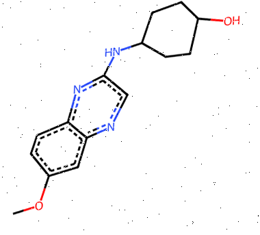 COc1ccc2nc(NC3CCC(O)CC3)cnc2c1